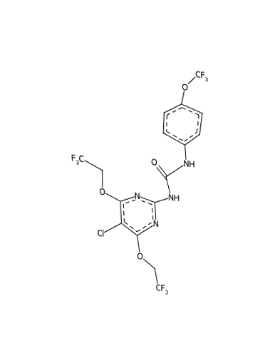 O=C(Nc1ccc(OC(F)(F)F)cc1)Nc1nc(OCC(F)(F)F)c(Cl)c(OCC(F)(F)F)n1